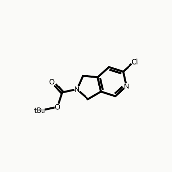 CC(C)(C)OC(=O)N1Cc2cnc(Cl)cc2C1